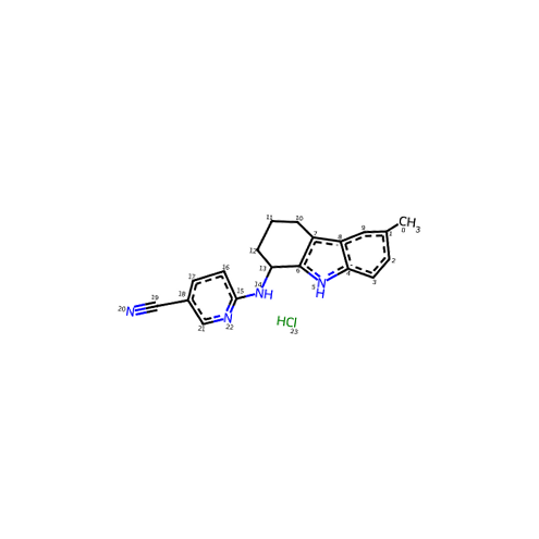 Cc1ccc2[nH]c3c(c2c1)CCCC3Nc1ccc(C#N)cn1.Cl